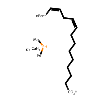 CCCCC/C=C\C/C=C\CCCCCCCC(=O)O.[CaH2].[Mn][PH][Fe].[Zn]